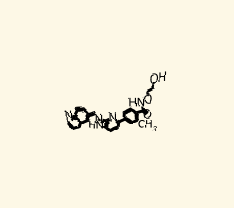 Cc1cc(-c2ccc3[nH]n(Cc4ccc5ncccc5c4)c3n2)ccc1C(=O)NOCCO